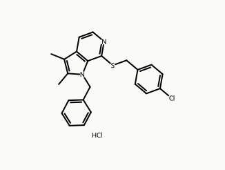 Cc1c(C)n(Cc2ccccc2)c2c(SCc3ccc(Cl)cc3)nccc12.Cl